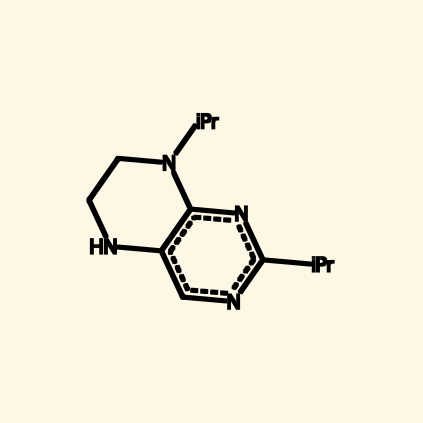 CC(C)c1ncc2c(n1)N(C(C)C)CCN2